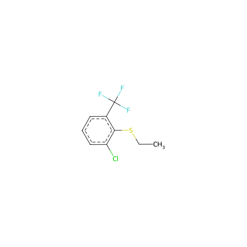 CCSc1c(Cl)cccc1C(F)(F)F